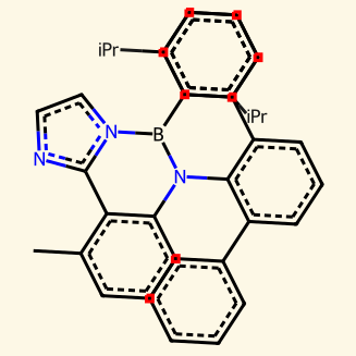 Cc1cccc2c1-c1nccn1B(c1c(C(C)C)cccc1C(C)C)N2c1c(-c2ccccc2)cccc1-c1ccccc1